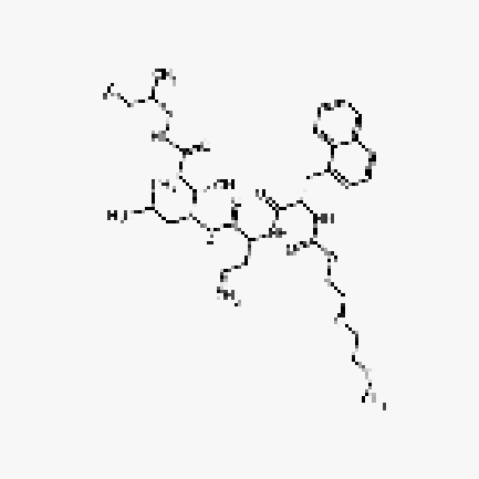 C=CC[C@H](NC(=O)[C@H](Cc1cccc2ccccc12)NC(=O)OCCOCCOC)C(=O)N[C@@H](CC(C)C)[C@@H](O)CC(=O)NCC(C)CC